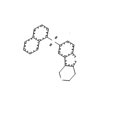 Cl.O=S(=O)(c1ccc2oc3c(c2c1)CNCC3)c1cccc2ccccc12